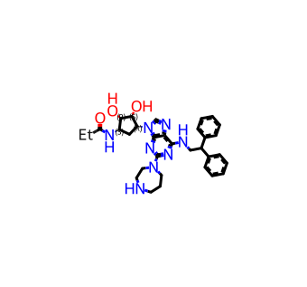 CCC(=O)N[C@H]1C[C@@H](n2cnc3c(NCC(c4ccccc4)c4ccccc4)nc(N4CCCNCC4)nc32)[C@H](O)[C@@H]1O